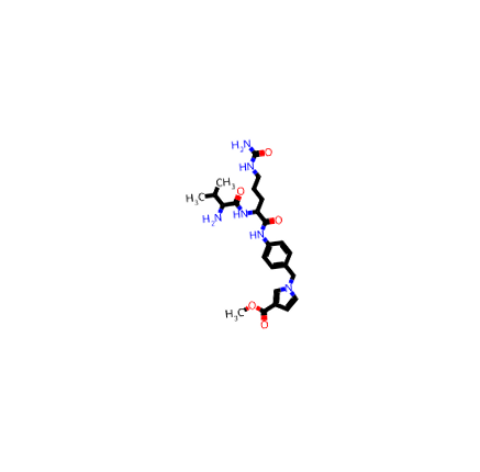 COC(=O)c1ccn(Cc2ccc(NC(=O)C(CCCNC(N)=O)NC(=O)C(N)C(C)C)cc2)c1